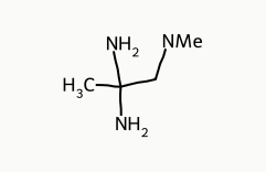 CNCC(C)(N)N